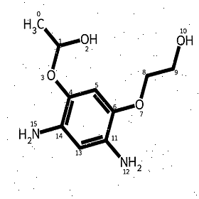 CC(O)Oc1cc(OCCO)c(N)cc1N